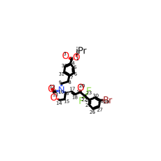 CC(C)OC(=O)c1ccc(CCN2C(=O)OCC[C@@H]2/C=C/C(=O)C(F)(F)c2cccc(Br)c2)cc1